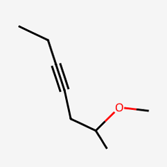 CCC#CCC(C)OC